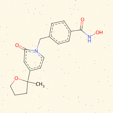 CC1(c2ccn(Cc3ccc(C(=O)NO)cc3)c(=O)c2)CCCO1